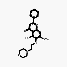 COc1cc2oc(-c3ccccc3)cc(=O)c2c(O)c1OCCN1CCOCC1